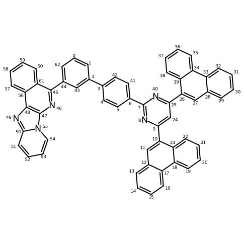 c1cc(-c2ccc(-c3nc(-c4cc5ccccc5c5ccccc45)cc(-c4cc5ccccc5c5ccccc45)n3)cc2)cc(-c2nc3c(nc4ccccn43)c3ccccc23)c1